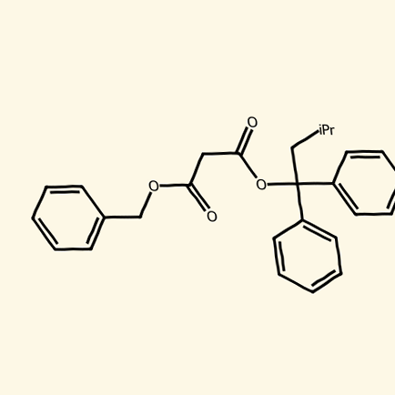 CC(C)CC(OC(=O)CC(=O)OCc1ccccc1)(c1ccccc1)c1ccccc1